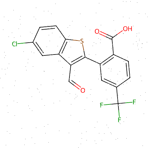 O=Cc1c(-c2cc(C(F)(F)F)ccc2C(=O)O)sc2ccc(Cl)cc12